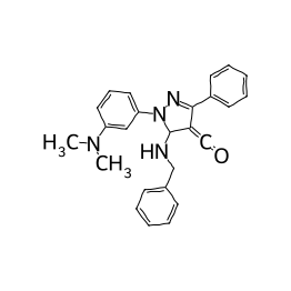 CN(C)c1cccc(N2N=C(c3ccccc3)C(=C=O)C2NCc2ccccc2)c1